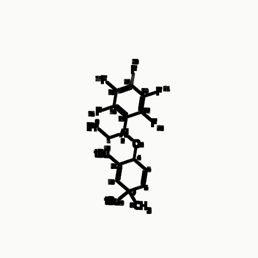 CC(C)[CH2][Al]([O]C1C=CC(C)(C(C)(C)C)C=C1C(C)(C)C)[c]1c(F)c(F)c(F)c(F)c1F